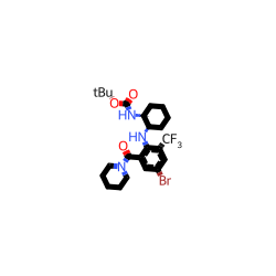 CC(C)(C)OC(=O)N[C@H]1CCCC[C@H]1Nc1c(C(=O)N2CCCCC2)cc(Br)cc1C(F)(F)F